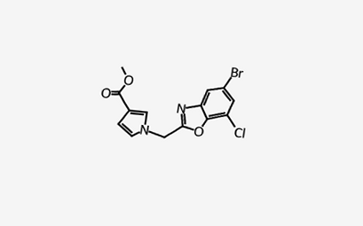 COC(=O)c1ccn(Cc2nc3cc(Br)cc(Cl)c3o2)c1